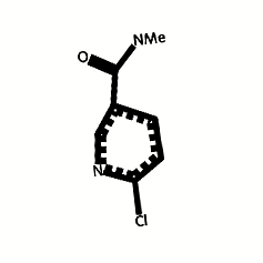 [CH2]NC(=O)c1ccc(Cl)nc1